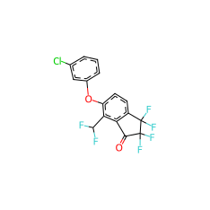 O=C1c2c(ccc(Oc3cccc(Cl)c3)c2C(F)F)C(F)(F)C1(F)F